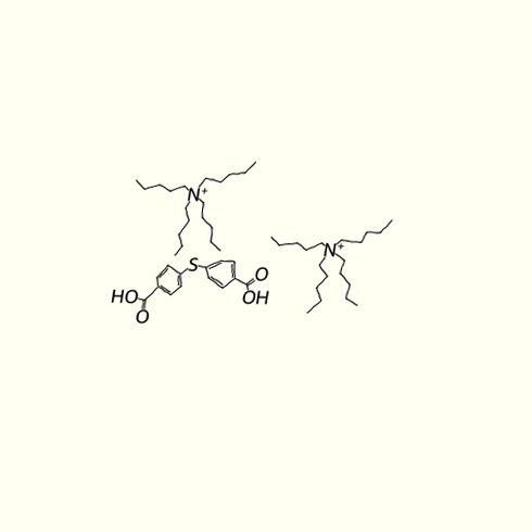 CCCCC[N+](CCCCC)(CCCCC)CCCCC.CCCCC[N+](CCCCC)(CCCCC)CCCCC.O=C(O)c1ccc(Sc2ccc(C(=O)O)cc2)cc1